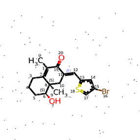 CC1=C2CCC[C@H](O)[C@@]2(C)C/C(=C\c2cc(Br)cs2)C1=O